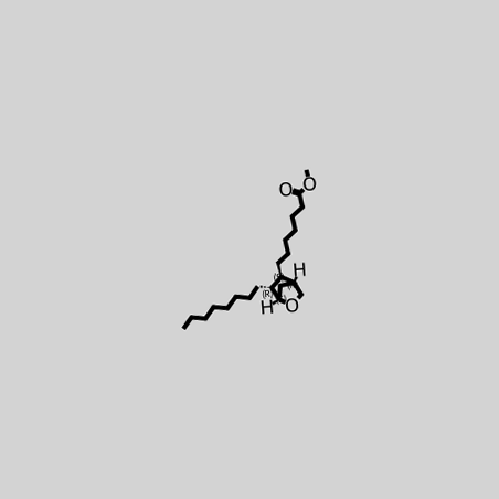 CCCCCCCC[C@@H]1[C@@H](CCCCCCC(=O)OC)[C@@H]2CO[C@H]1C2